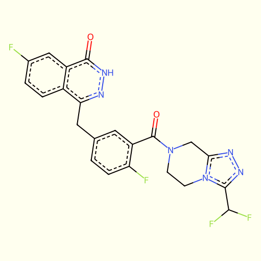 O=C(c1cc(Cc2n[nH]c(=O)c3cc(F)ccc23)ccc1F)N1CCn2c(nnc2C(F)F)C1